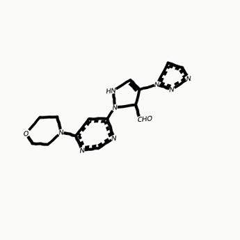 O=CC1C(n2ccnn2)=CNN1c1cc(N2CCOCC2)ncn1